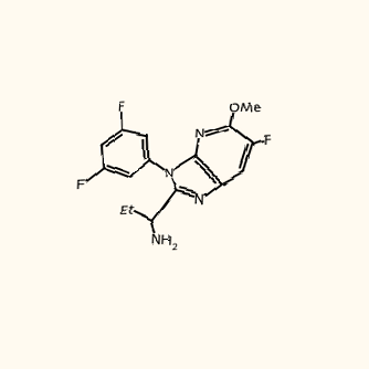 CCC(N)c1nc2cc(F)c(OC)nc2n1-c1cc(F)cc(F)c1